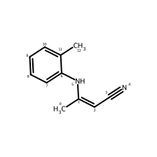 C/C(=C/C#N)Nc1ccccc1C